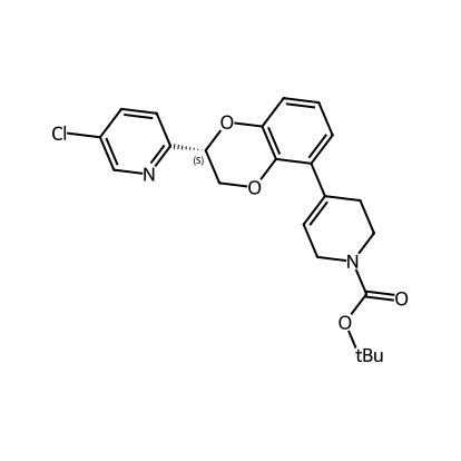 CC(C)(C)OC(=O)N1CC=C(c2cccc3c2OC[C@H](c2ccc(Cl)cn2)O3)CC1